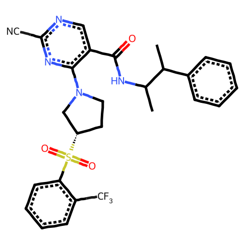 CC(NC(=O)c1cnc(C#N)nc1N1CC[C@H](S(=O)(=O)c2ccccc2C(F)(F)F)C1)C(C)c1ccccc1